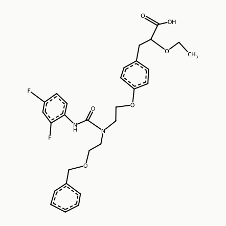 CCOC(Cc1ccc(OCCN(CCOCc2ccccc2)C(=O)Nc2ccc(F)cc2F)cc1)C(=O)O